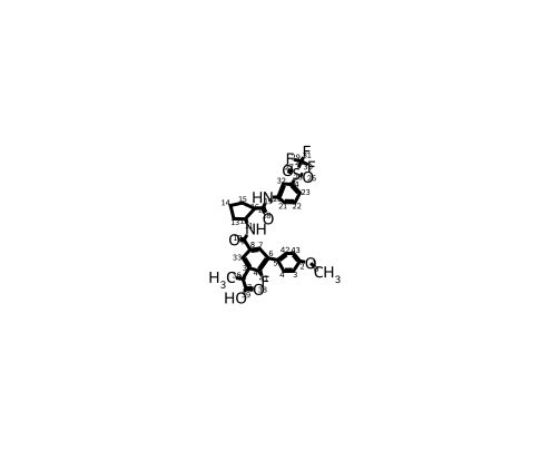 COc1ccc(-c2cc(C(=O)NC3CCCC3C(=O)Nc3cccc(S(=O)(=O)C(F)(F)F)c3)cc(C(C)C(=O)O)c2F)cc1